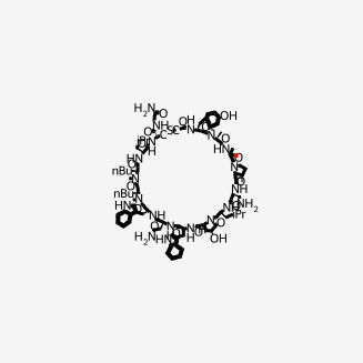 CCCC[C@H]1C(=O)N(C)[C@@H](CCCC)C(=O)N[C@@H](CC(C)C)C(=O)N[C@H](C(=O)NCC(N)=O)CSCC(=O)N[C@@H](Cc2ccc(O)cc2)C(=O)N(C)[C@@H](C)C(=O)NC(C)(C)C(=O)N2CCC[C@H]2C(=O)N[C@@H](CN)C(=O)N[C@@H](CC(C)C)C(=O)N2C[C@H](O)C[C@H]2C(=O)NC(Cc2c[nH]c3ccccc23)C(=O)N[C@@H](CCN)C(=O)N[C@@H](Cc2c[nH]c3ccccc23)C(=O)N1C